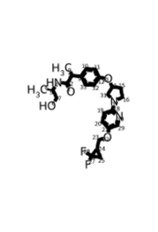 CC(C(=O)N[C@H](C)CO)c1ccc(OC2CCN(c3ccc(OCC4CC4(F)F)cn3)C2)cc1